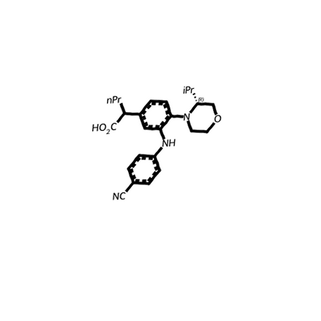 CCCC(C(=O)O)c1ccc(N2CCOC[C@H]2C(C)C)c(Nc2ccc(C#N)cc2)c1